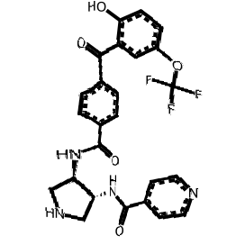 O=C(N[C@@H]1CNC[C@H]1NC(=O)c1ccc(C(=O)c2cc(OC(F)(F)F)ccc2O)cc1)c1ccncc1